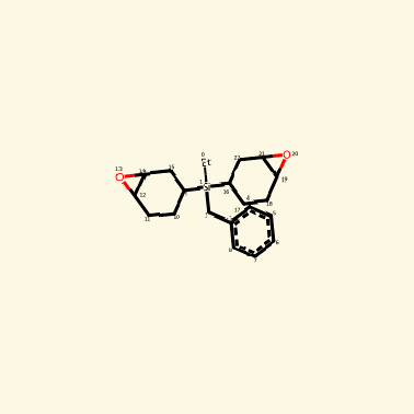 CC[Si](Cc1ccccc1)(C1CCC2OC2C1)C1CCC2OC2C1